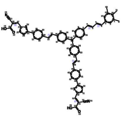 Cc1cc(/C=C/C=C/c2ccc(N(c3ccc(/C=C/c4ccc(-c5ccc(/C=C(/C#N)C(=O)O)s5)cc4)cc3)c3ccc(/C=C/c4ccc(-c5ccc(/C=C(\C#N)C(=O)O)s5)cc4)cc3)cc2)cc(C)c1C